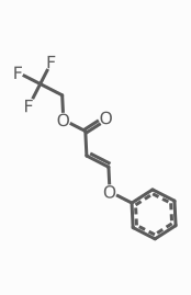 O=C(C=COc1ccccc1)OCC(F)(F)F